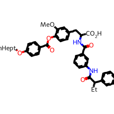 CCCCCCCOc1ccc(C(=O)Oc2ccc(CC(NC(=O)c3cccc(NC(=O)C(CC)c4ccccc4)c3)C(=O)O)cc2OC)cc1